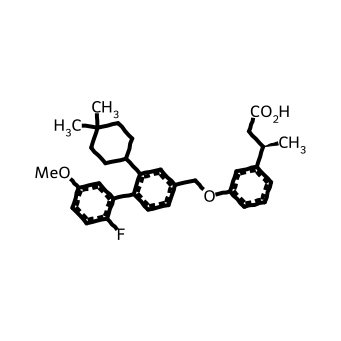 COc1ccc(F)c(-c2ccc(COc3cccc([C@H](C)CC(=O)O)c3)cc2C2CCC(C)(C)CC2)c1